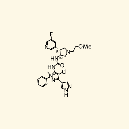 COCCN1C[C@@H](NC(=O)NC2=C(Cl)C(c3cn[nH]c3)=N[N+]2(C)c2ccccc2)[C@H](c2cncc(F)c2)C1